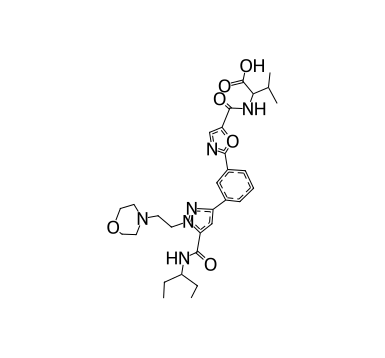 CCC(CC)NC(=O)c1cc(-c2cccc(-c3ncc(C(=O)NC(C(=O)O)C(C)C)o3)c2)nn1CCN1CCOCC1